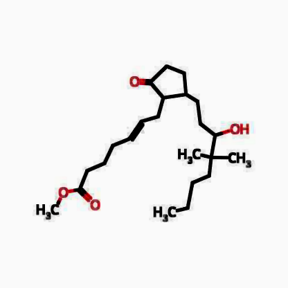 CCCCC(C)(C)C(O)CCC1CCC(=O)C1CC=CCCCC(=O)OC